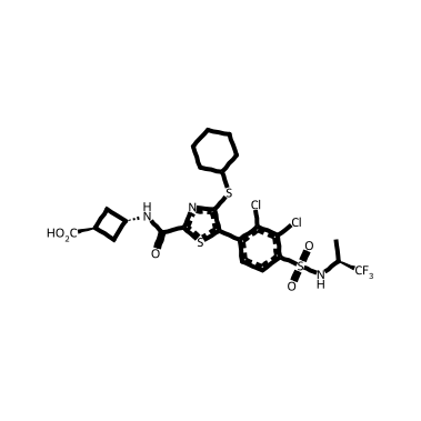 C[C@H](NS(=O)(=O)c1ccc(-c2sc(C(=O)N[C@H]3C[C@H](C(=O)O)C3)nc2SC2CCCCC2)c(Cl)c1Cl)C(F)(F)F